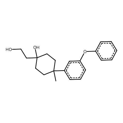 CC1(c2cccc(Oc3ccccc3)c2)CCC(O)(CCO)CC1